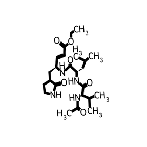 CCOC(=O)/C=C/[C@H](CC1CCNC1=O)NC(=O)[C@H](CC(C)C)NC(=O)[C@@H](NC(C)=O)C(C)C